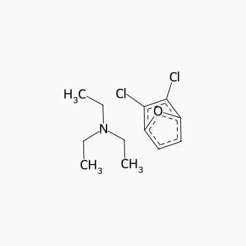 CCN(CC)CC.Clc1c(Cl)c2ccc1o2